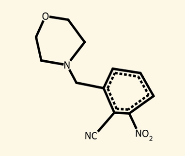 N#Cc1c(CN2CCOCC2)cccc1[N+](=O)[O-]